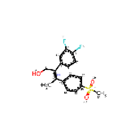 [CH2]/C(=C(\CO)c1ccc(F)c(F)c1)c1ccc(S(C)(=O)=O)cc1